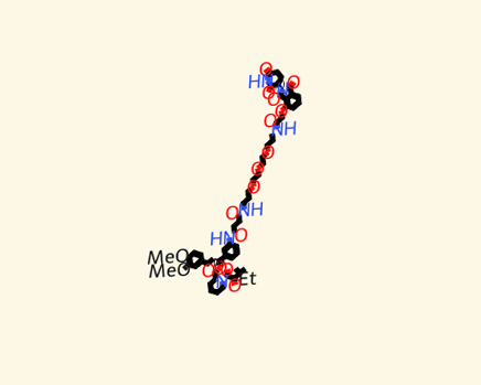 CCC(C)(C)C(=O)C(=O)N1CCCCC1C(=O)O[C@H](CCc1ccc(OC)c(OC)c1)c1cccc(NC(=O)CCC(=O)NCCCOCCOCCOCCCNC(=O)COc2cccc3c2C(=O)N([C@@H]2CCC(=O)NC2=O)C3=O)c1